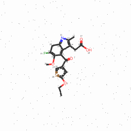 CCOc1cc(C(=O)C2=C3C(=NC(C)=C3CC(=O)O)CC(F)=C2OC)cs1